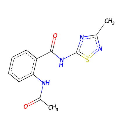 CC(=O)Nc1ccccc1C(=O)Nc1nc(C)ns1